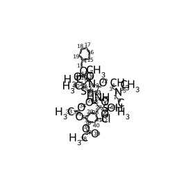 CCN(CC)CC.CO[C@@]1(C(=O)OCc2ccccc2)N2C(=O)[C@H](NC(=O)C(c3cc(OC(C)=O)c(OC(C)=O)cc3Cl)S(=O)(=O)O)[C@H]2SC1(C)C